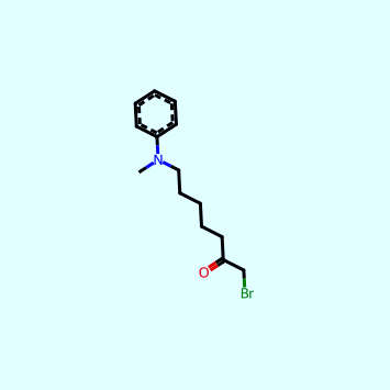 CN(CCCCCC(=O)CBr)c1ccccc1